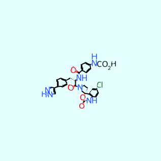 O=C(O)Nc1ccc(C(=O)N[C@@H](Cc2ccc(-c3cn[nH]c3)cc2)C(=O)N2CC[C@@]3(C2)OC(=O)Nc2ccc(Cl)cc23)cc1